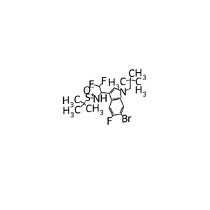 CC(C)(C)Cn1cc(C(N[S@@+]([O-])C(C)(C)C)C(F)F)c2cc(F)c(Br)cc21